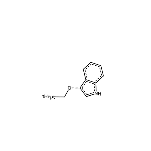 CCCCCCCCOc1c[nH]c2ccccc12